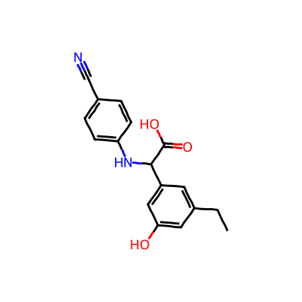 CCc1cc(O)cc(C(Nc2ccc(C#N)cc2)C(=O)O)c1